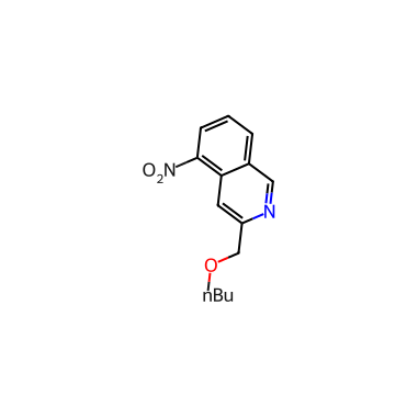 CCCCOCc1cc2c([N+](=O)[O-])cccc2cn1